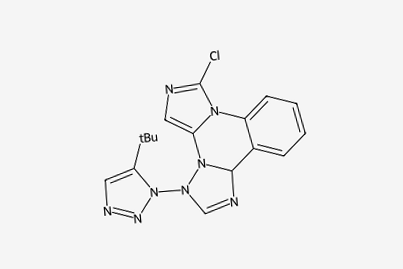 CC(C)(C)c1cnnn1N1C=NC2c3ccccc3-n3c(cnc3Cl)N21